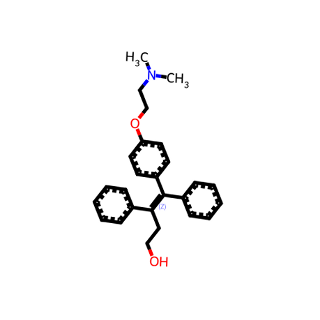 CN(C)CCOc1ccc(/C(=C(/CCO)c2ccccc2)c2ccccc2)cc1